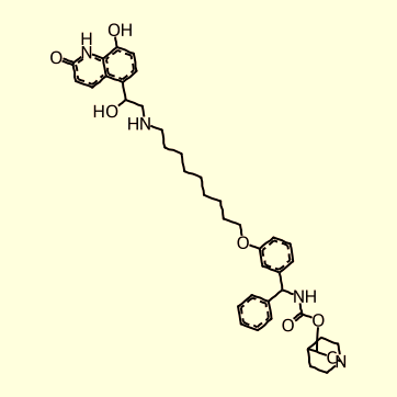 O=C(NC(c1ccccc1)c1cccc(OCCCCCCCCCNCC(O)c2ccc(O)c3[nH]c(=O)ccc23)c1)OC1CN2CCC1CC2